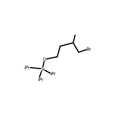 CC(CBr)CCO[Si](C(C)C)(C(C)C)C(C)C